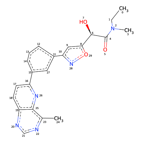 CCN(C)C(=O)[C@H](O)c1cc(-c2cccc(-c3ccc4ncnc(C)c4n3)c2)no1